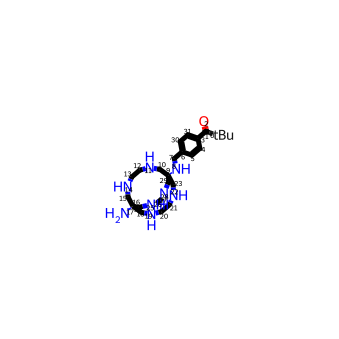 CC(C)(C)C(=O)c1ccc(CN[C@]23CNCCNC[C@](N)(CNCCNC2)CNCCNC3)cc1